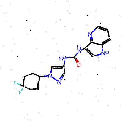 O=C(Nc1cnn(C2CCC(F)(F)CC2)c1)Nc1c[nH]c2cccnc12